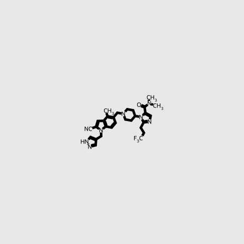 Cc1c(CN2CCC(n3c(C(=O)N(C)C)cnc3CCC(F)(F)F)CC2)ccc2c1cc(C#N)n2Cc1cn[nH]c1